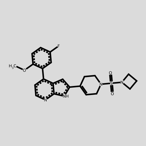 COc1ccc(F)cc1-c1ccnc2[nH]c(C3=CCN(S(=O)(=O)N4CCC4)CC3)cc12